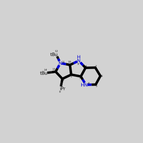 CC(C)C1C2C3NCCCC3NC2N(C(C)(C)C)C1C(C)(C)C